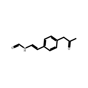 CC(=O)Cc1ccc(C=CNC=O)cc1